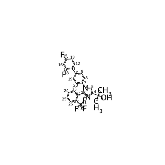 CC(C)(O)c1cn(-c2ccc(-c3ccc(F)cc3F)cc2)c(-c2ccccc2C(F)(F)F)n1